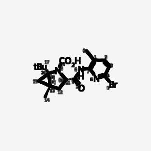 Cc1ccc(Br)nc1NC(=O)[C@@H]1C[C@]2(C)C[C@]2(C(C)(C)C)N1C(=O)O